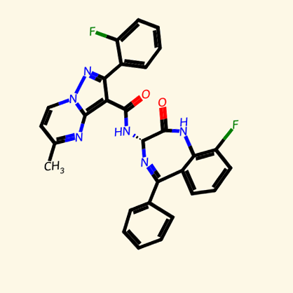 Cc1ccn2nc(-c3ccccc3F)c(C(=O)N[C@H]3N=C(c4ccccc4)c4cccc(F)c4NC3=O)c2n1